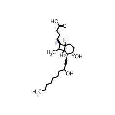 CCCCCCCC(O)C#C[C@H]1[C@@H]2C(C)/C(=C/CCC(=O)O)[C@@H]2CC[C@@H]1O